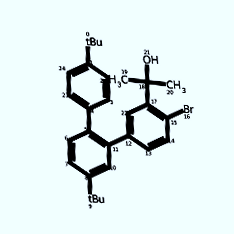 CC(C)(C)c1ccc(-c2ccc(C(C)(C)C)cc2-c2ccc(Br)c(C(C)(C)O)c2)cc1